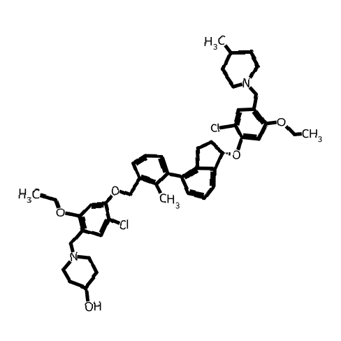 CCOc1cc(O[C@H]2CCc3c(-c4cccc(COc5cc(OCC)c(CN6CCC(O)CC6)cc5Cl)c4C)cccc32)c(Cl)cc1CN1CCC(C)CC1